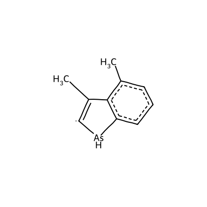 CC1=[C][AsH]c2cccc(C)c21